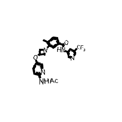 CC(=O)Nc1ccc(OC2CN(c3cc(C(=O)Nc4cncc(C(F)(F)F)c4)ccc3C)C2)cn1